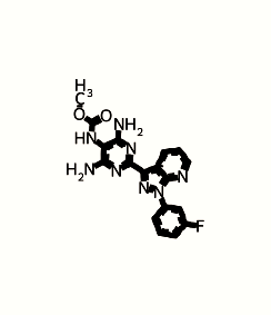 COC(=O)Nc1c(N)nc(-c2nn(-c3cccc(F)c3)c3ncccc23)nc1N